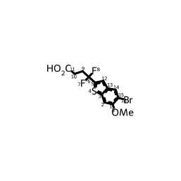 COc1cc2sc(C(F)(F)CCC(=O)O)cc2cc1Br